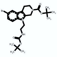 CC(C)(C)OC(=O)NCCn1c2c(c3cc(Br)ccc31)CCN(C(=O)OC(C)(C)C)C2